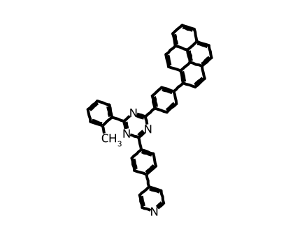 Cc1ccccc1-c1nc(-c2ccc(-c3ccncc3)cc2)nc(-c2ccc(-c3ccc4ccc5cccc6ccc3c4c56)cc2)n1